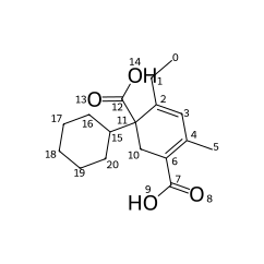 CCC1=CC(C)=C(C(=O)O)CC1(C(=O)O)C1CCCCC1